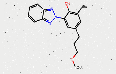 CCCCCCCCOCCCc1cc(-n2nc3ccccc3n2)c(O)c(C(C)(C)C)c1